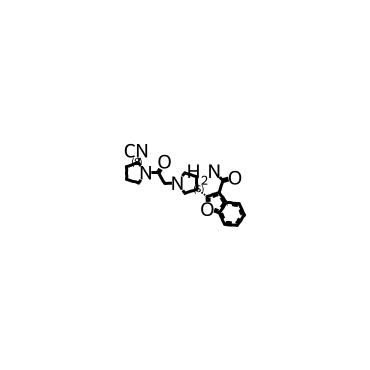 N#C[C@@H]1CCCN1C(=O)CN1CC[C@H](c2oc3ccccc3c2C(N)=O)C1